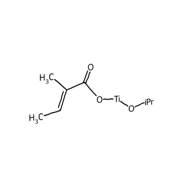 CC=C(C)C(=O)[O][Ti][O]C(C)C